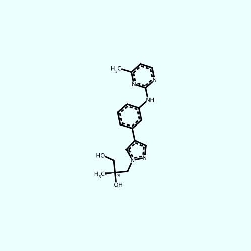 Cc1ccnc(Nc2cccc(-c3cnn(C[C@](C)(O)CO)c3)c2)n1